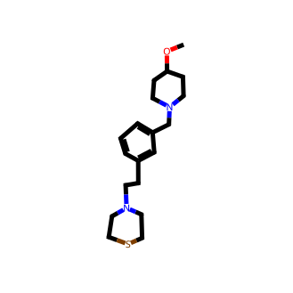 COC1CCN(Cc2cccc(CCN3CCSCC3)c2)CC1